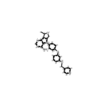 CC1OCc2c1c1ncnc(N)c1n2-c1ccc(Oc2cccc(OCc3ccncc3)c2)cc1